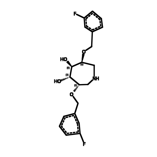 O[C@@H]1[C@@H](O)[C@@H](OCc2cccc(F)c2)CNC[C@@H]1OCc1cccc(F)c1